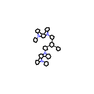 c1ccc(-c2cc(-c3cccc(-n4c5ccccc5c5c6c7ccccc7n(-c7ccccc7)c6ccc54)c3)cc(-c3cccc(-n4c5ccccc5c5c4ccc4c6ccccc6n(-c6ccccc6)c45)c3)c2)cc1